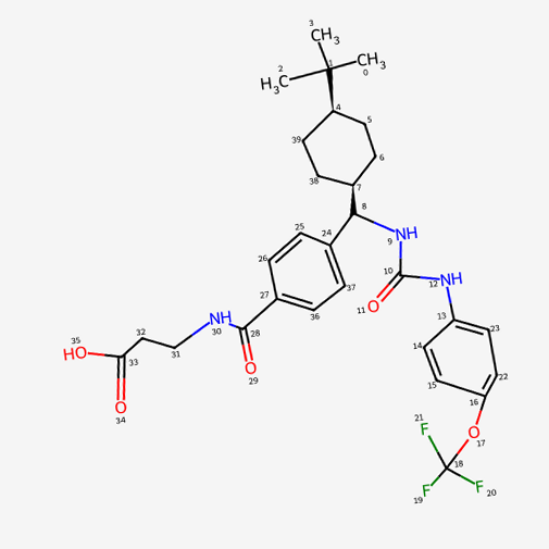 CC(C)(C)[C@H]1CC[C@@H](C(NC(=O)Nc2ccc(OC(F)(F)F)cc2)c2ccc(C(=O)NCCC(=O)O)cc2)CC1